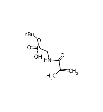 C=C(C)C(=O)NCP(=O)(O)OCCCC